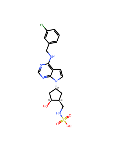 O=S(=O)(O)NC[C@@H]1C[C@@H](n2ccc3c(NCc4cccc(Cl)c4)ncnc32)C[C@@H]1O